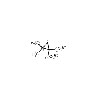 CCOC(=O)C1(C(=O)OCC)CC1(C)C